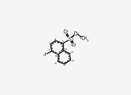 COS(=O)(=O)c1ccc(F)c2ccccc12